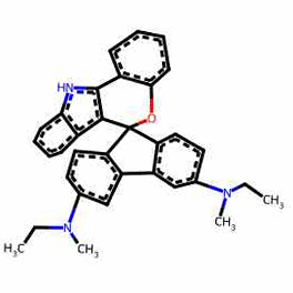 CCN(C)c1ccc2c(c1)-c1cc(N(C)CC)ccc1C21Oc2ccccc2-c2[nH]c3ccccc3c21